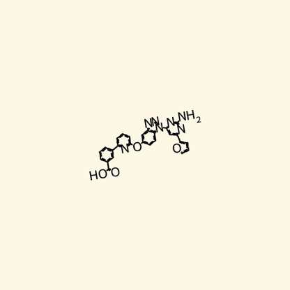 Nc1nc(-c2ccco2)cc(-n2nnc3cc(Oc4cccc(-c5cccc(C(=O)O)c5)n4)ccc32)n1